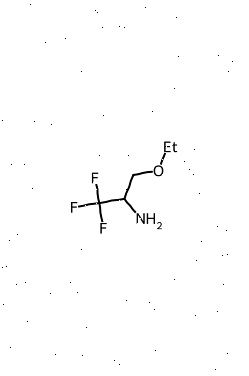 CCOCC(N)C(F)(F)F